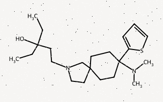 CCC(O)(CC)CCN1CCC2(CCC(c3cccs3)(N(C)C)CC2)C1